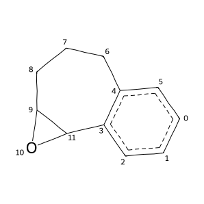 c1ccc2c(c1)CCCC1OC21